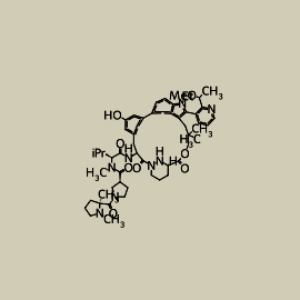 CCn1c(-c2cccnc2[C@H](C)OC)c2c3cc(ccc31)-c1cc(O)cc(c1)C[C@H](NC(=O)[C@H](C(C)C)N(C)C(=O)[C@H]1CCN(C(=O)[C@]3(C)CCCN3C)C1)C(=O)N1CCC[C@H](N1)C(=O)OCC(C)(C)C2